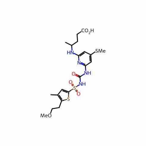 COCCc1sc(S(=O)(=O)NC(=O)Nc2cc(SC)cc(NC(C)CCC(=O)O)n2)cc1C